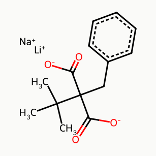 CC(C)(C)C(Cc1ccccc1)(C(=O)[O-])C(=O)[O-].[Li+].[Na+]